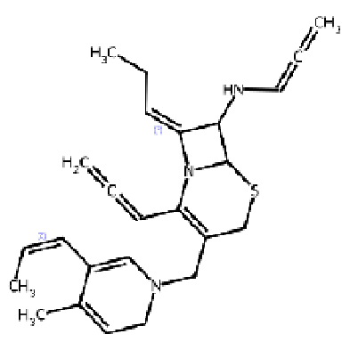 C=C=CNC1/C(=C\CC)N2C(C=C=C)=C(CN3C=C(/C=C\C)C(C)=CC3)CSC12